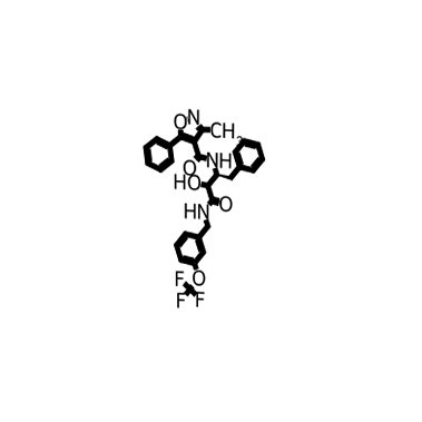 Cc1noc(-c2ccccc2)c1C(=O)N[C@@H](Cc1ccccc1)C(O)C(=O)NCc1cccc(OC(F)(F)F)c1